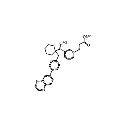 COC(=O)/C=C/c1cccc(N(C=O)C2(Cc3ccc(-c4ccc5nccnc5c4)cc3)CCCCC2)c1